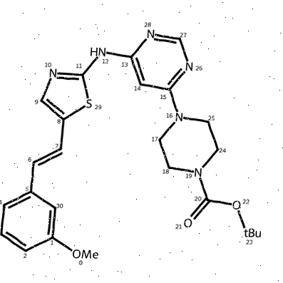 COc1cccc(C=Cc2cnc(Nc3cc(N4CCN(C(=O)OC(C)(C)C)CC4)ncn3)s2)c1